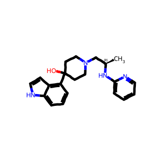 C[C@H](CN1CCC(O)(c2cccc3[nH]ccc23)CC1)Nc1ccccn1